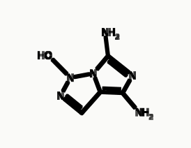 Nc1nc(N)n2c1cnn2O